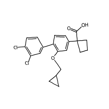 O=C(O)C1(c2ccc(-c3ccc(Cl)c(Cl)c3)c(OCC3CC3)c2)CCC1